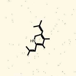 CC(C)=CC1=C(C)C(C)=C(C=C(C)C)NC1